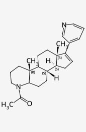 CC(=O)N1CCC[C@]2(C)C3CC[C@]4(C)C(c5cccnc5)=CC[C@H]4[C@@H]3CCC12